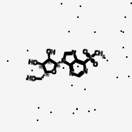 CS(=O)(=O)c1ncnc2c1ncn2[C@@H]1O[C@H](CO)[C@@H](O)[C@H]1O